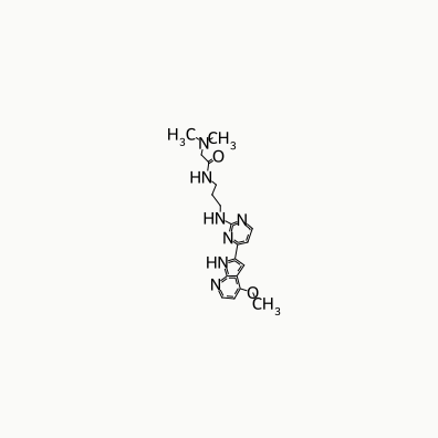 COc1ccnc2[nH]c(-c3ccnc(NCCCNC(=O)CN(C)C)n3)cc12